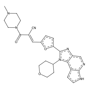 CN1CCN(C(=O)/C(C#N)=C/c2ccc(-c3nc4cnc5[nH]ccc5c4n3C3CCOCC3)o2)CC1